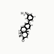 CN1C(=O)CCC2(C)c3ccc(-c4cccc(N)c4)cc3CC[C@@H]12